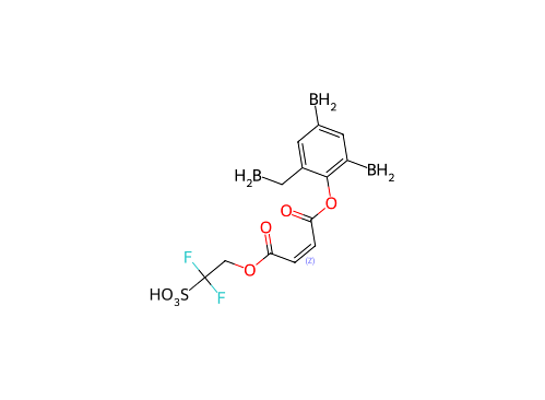 BCc1cc(B)cc(B)c1OC(=O)/C=C\C(=O)OCC(F)(F)S(=O)(=O)O